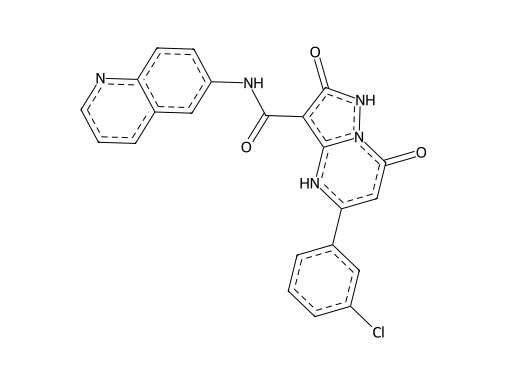 O=C(Nc1ccc2ncccc2c1)c1c(=O)[nH]n2c(=O)cc(-c3cccc(Cl)c3)[nH]c12